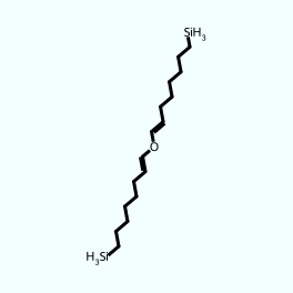 [SiH3]CCCCCCC=COC=CCCCCCC[SiH3]